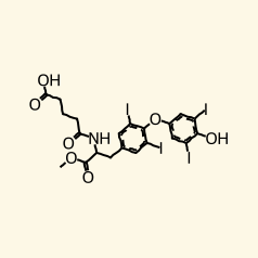 COC(=O)C(Cc1cc(I)c(Oc2cc(I)c(O)c(I)c2)c(I)c1)NC(=O)CCCC(=O)O